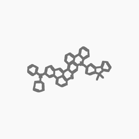 CC1(C)c2ccccc2-c2cc(N(c3ccc4c(c3)Sc3cccc5c3c-4cc3ccc(N(c4ccccc4)c4ccccc4)cc35)c3ccccc3-c3ccccc3)ccc21